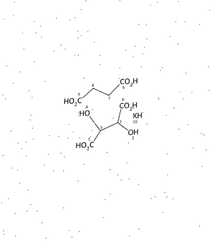 O=C(O)C(O)C(O)C(=O)O.O=C(O)CCC(=O)O.[KH]